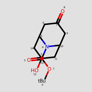 CC(C)(C)OC(=O)N1C2CC(=O)CC1CC(O)C2